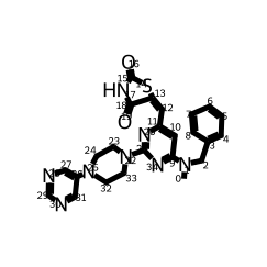 CN(Cc1ccccc1)c1cc(/C=C2/SC(=O)NC2=O)nc(N2CCN(c3cncnc3)CC2)n1